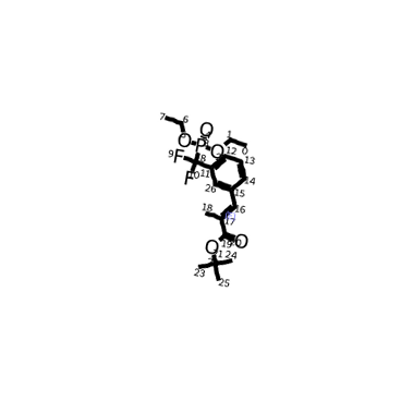 CCOP(=O)(OCC)C(F)(F)c1cccc(/C=C(\C)C(=O)OC(C)(C)C)c1